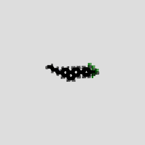 CCC/C=C/C1CCC2C(CCC3CC(c4ccc(C(F)(F)F)c(F)c4)CCC32)C1